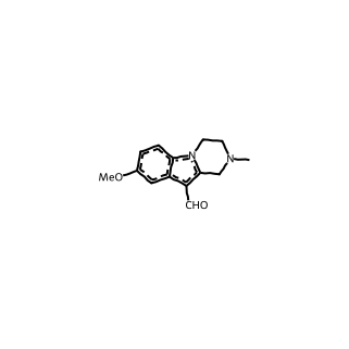 COc1ccc2c(c1)c(C=O)c1n2CCN(C)C1